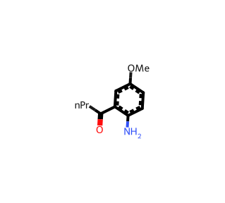 CCCC(=O)c1cc(OC)ccc1N